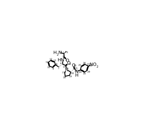 C[C@H](N)C(=O)N[C@@H](Cc1ccccc1)C(=O)N1CCC[C@H]1C(=O)Nc1ccc([N+](=O)[O-])cc1